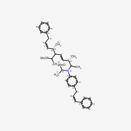 COC(C)C(C=C[C@H](C)C(C)N(c1ccc(C/C=C\c2ccccc2)cc1)C(C)OC)[C@@H](C)/C=C\Cc1ccccc1